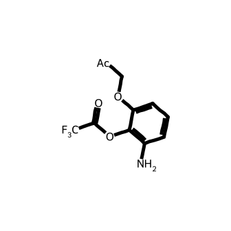 CC(=O)COc1cccc(N)c1OC(=O)C(F)(F)F